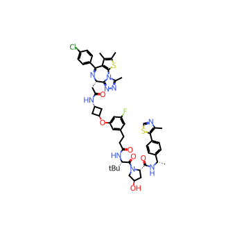 Cc1ncsc1-c1ccc([C@H](C)NC(=O)[C@@H]2C[C@@H](O)CN2C(=O)[C@@H](NC(=O)CCc2cc(F)cc(O[C@H]3C[C@H](NC(=O)C[C@@H]4N=C(c5ccc(Cl)cc5)c5c(sc(C)c5C)-n5c(C)nnc54)C3)c2)C(C)(C)C)cc1